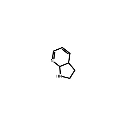 C1=CC2CCNC2N=C1